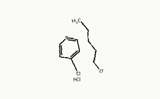 CCCCCCl.Cl.Clc1ccncc1